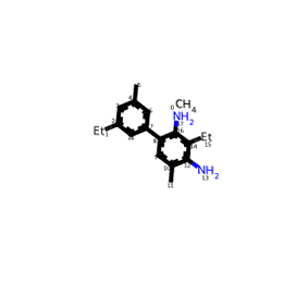 C.CCc1cc(C)cc(-c2cc(C)c(N)c(CC)c2N)c1